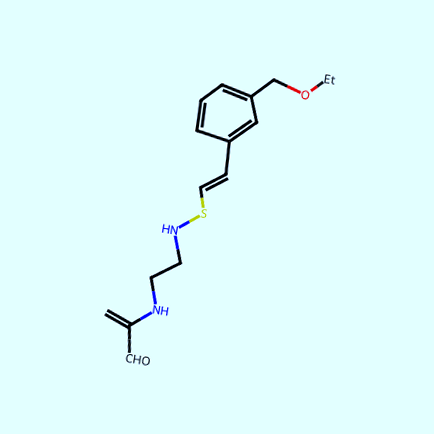 C=C(C=O)NCCNS/C=C/c1cccc(COCC)c1